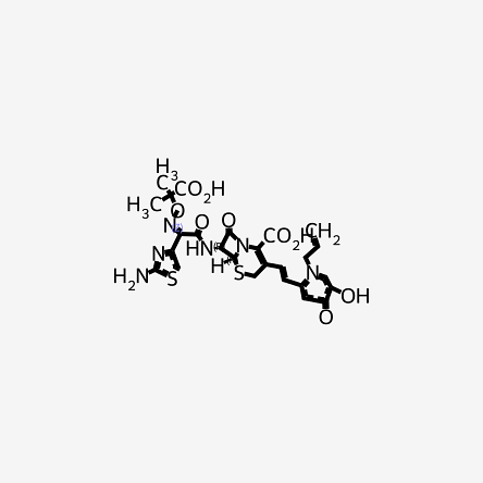 C=CCn1cc(O)c(=O)cc1C=CC1=C(C(=O)O)N2C(=O)[C@@H](NC(=O)/C(=N\OC(C)(C)C(=O)O)c3csc(N)n3)[C@H]2SC1